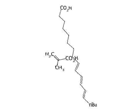 C=C(C)C(=O)O.CCCCC=CC=CC=CCCCCCCCC(=O)O